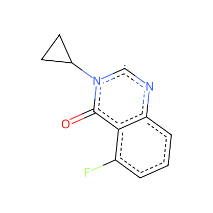 O=c1c2c(F)cccc2n[c]n1C1CC1